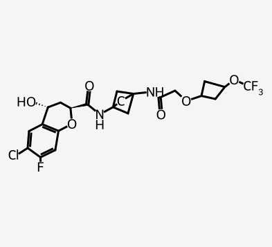 O=C(COC1CC(OC(F)(F)F)C1)NC12CC(NC(=O)[C@@H]3C[C@@H](O)c4cc(Cl)c(F)cc4O3)(C1)C2